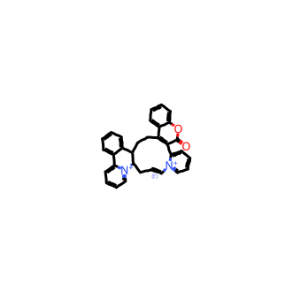 O=c1oc2ccccc2c2c1-c1cccc[n+]1/C=C/CC1C(CC2)c2ccccc2-c2cccc[n+]21